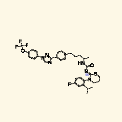 CC(CCCc1ccc(-c2ncn(-c3ccc(OC(F)(F)F)cc3)n2)cc1)NC(=O)/N=C1\SCCCN1c1ccc(F)cc1C(C)C